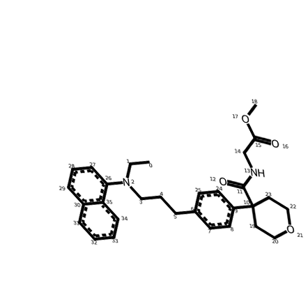 CCN(CCCc1ccc(C2(C(=O)NCC(=O)OC)CCOCC2)cc1)c1cccc2ccccc12